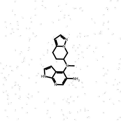 CN(c1c(N)cnc2[nH]ccc12)C1CCc2ccnn2C1